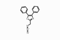 [N-]=[N+]=NCc1nc(-c2ccccc2)c(-c2ccccc2)o1